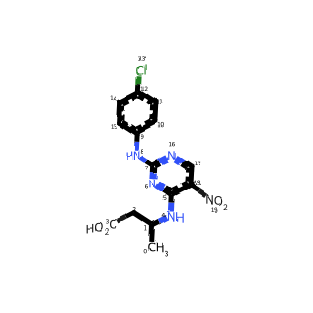 CC(CC(=O)O)Nc1nc(Nc2ccc(Cl)cc2)ncc1[N+](=O)[O-]